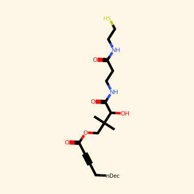 CCCCCCCCCCCC#CC(=O)OCC(C)(C)C(O)C(=O)NCCC(=O)NCCS